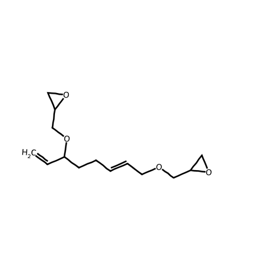 C=CC(CCC=CCOCC1CO1)OCC1CO1